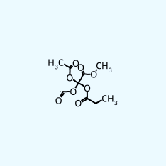 CCC(=O)OC(O[C]=O)(OC(C)=O)C(=O)OC